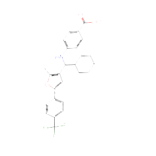 Cc1oc(-c2ccc(C(F)(F)F)cc2)cc1C(Nc1ccc(C(=O)O)cc1)C1CCCCC1